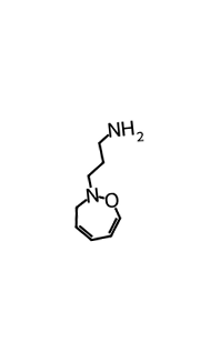 NCCCN1CC=CC=CO1